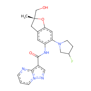 C[C@]1(CO)Cc2cc(NC(=O)c3cnn4cccnc34)c(N3CCC(F)C3)cc2O1